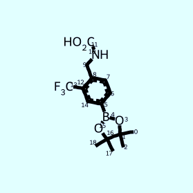 CC1(C)OB(c2ccc(CNC(=O)O)c(C(F)(F)F)c2)OC1(C)C